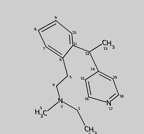 CCN(C)CCc1ccccc1C(C)c1ccncc1